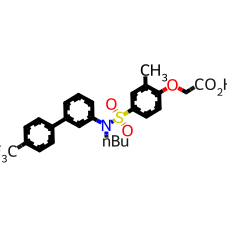 CCCCN(c1cccc(-c2ccc(C(F)(F)F)cc2)c1)S(=O)(=O)c1ccc(OCC(=O)O)c(C)c1